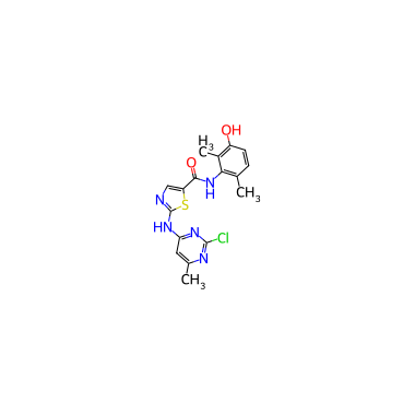 Cc1cc(Nc2ncc(C(=O)Nc3c(C)ccc(O)c3C)s2)nc(Cl)n1